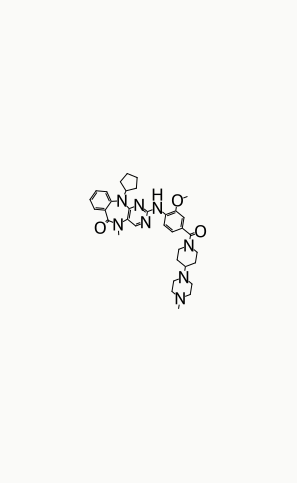 COc1cc(C(=O)N2CCC(N3CCN(C)CC3)CC2)ccc1Nc1ncc2c(n1)N(C1CCCC1)c1ccccc1C(=O)N2C